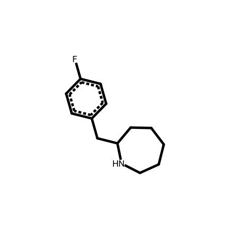 Fc1ccc(CC2CCCCCN2)cc1